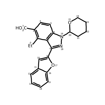 CCc1c(C(=O)O)ccc2c1c(-c1cc3ccccc3o1)nn2C1CCCCO1